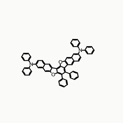 c1ccc(-c2c(-c3ccccc3)c3c4cc5ccc(N(c6ccccc6)c6ccccc6)cc5cc4oc3c3c2oc2cc4cc(N(c5ccccc5)c5ccccc5)ccc4cc23)cc1